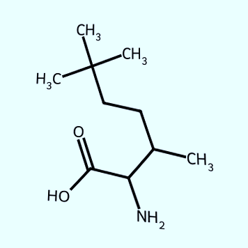 CC(CCC(C)(C)C)C(N)C(=O)O